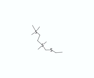 CCSCS(C)(C)CCS(C)(C)C